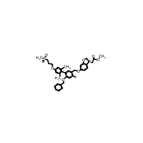 COC(=O)C[C@@H]1COc2cc(OCc3cc(-c4c(C)cc(OCCCS(C)(=O)=O)cc4C)c(OCc4ccccc4)cc3F)ccc21